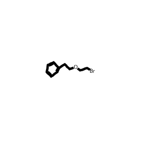 BrCCOCCc1ccccc1